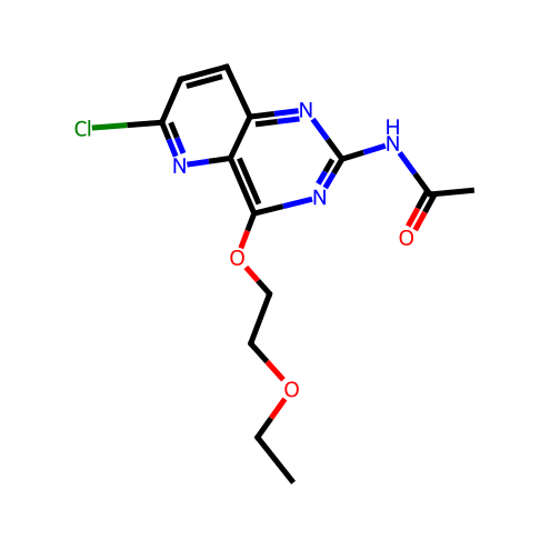 CCOCCOc1nc(NC(C)=O)nc2ccc(Cl)nc12